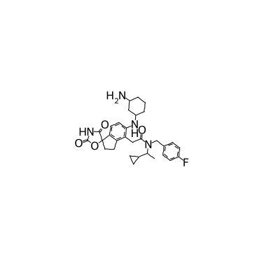 CC(C1CC1)N(Cc1ccc(F)cc1)C(=O)Cc1c(NC2CCCC(N)C2)ccc2c1CCC21OC(=O)NC1=O